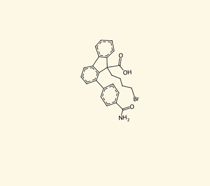 NC(=O)c1ccc(-c2cccc3c2C(CCCCBr)(C(=O)O)c2ccccc2-3)cc1